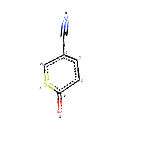 N#Cc1ccc(=O)sc1